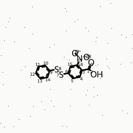 O=C(O)c1ccc(SSc2ccccc2)cc1[N+](=O)[O-]